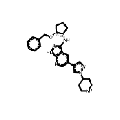 c1ccc(CO[C@H]2CCC[C@@H]2Nc2n[nH]c3ncc(-c4cnn(C5CCNCC5)c4)cc23)cc1